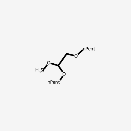 CCCCCOCC(O[SiH3])OCCCCC